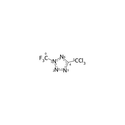 FC(F)(F)n1nnc(C(Cl)(Cl)Cl)n1